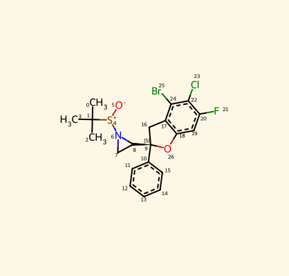 CC(C)(C)[S+]([O-])N1CC1[C@@]1(c2ccccc2)Cc2c(cc(F)c(Cl)c2Br)O1